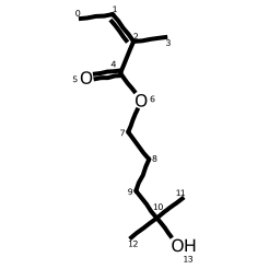 CC=C(C)C(=O)OCCCC(C)(C)O